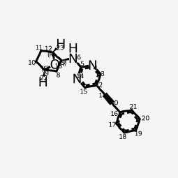 C(#Cc1cnc(N[C@H]2C[C@@H]3CC[C@H]2O3)nc1)c1ccccc1